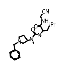 CC(C)CC([N]C(=O)N(C)C1CCN(Cc2ccccc2)C1)C(=O)NCC#N